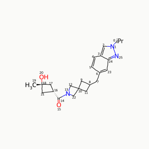 CC(C)n1cc2ccc(CC3CC4(C3)CN(C(=O)[C@H]3C[C@@](C)(O)C3)C4)cc2n1